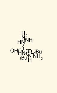 CC[C@H](C)[C@H](N)C(=O)N[C@H](C(=O)N[C@H](C=O)CCCNC(=N)N)[C@@H](C)CC